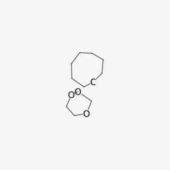 C1CCCCCCC1.C1COOCO1